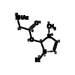 CCN1C=CN(C)C1OC(=O)CNC(C)=O